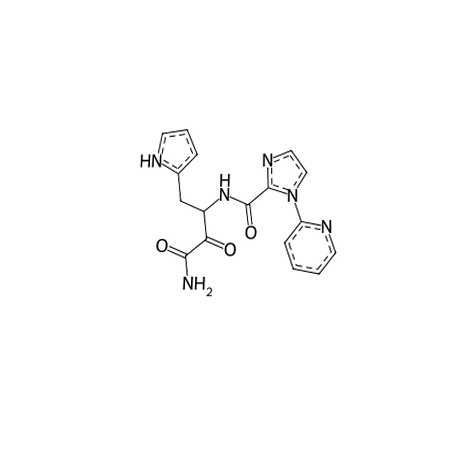 NC(=O)C(=O)C(Cc1ccc[nH]1)NC(=O)c1nccn1-c1ccccn1